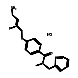 CN(Cc1ccccc1)C(=O)c1ccc(OC/C(F)=C/CN)cc1.Cl